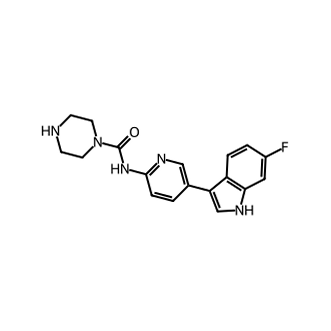 O=C(Nc1ccc(-c2c[nH]c3cc(F)ccc23)cn1)N1CCNCC1